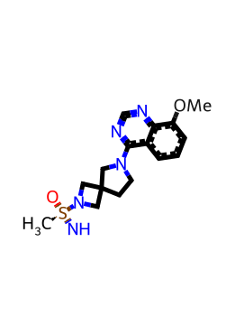 COc1cccc2c(N3CCC4(C3)CN([S@@](C)(=N)=O)C4)ncnc12